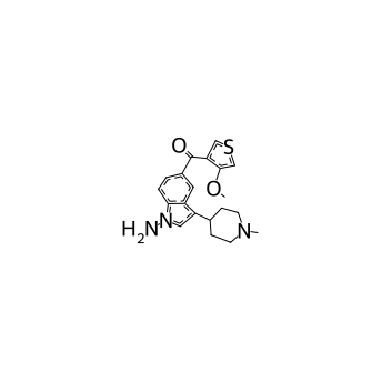 COc1cscc1C(=O)c1ccc2c(c1)c(C1CCN(C)CC1)cn2N